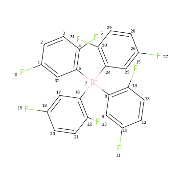 Fc1ccc(F)c([B-](c2cc(F)ccc2F)(c2cc(F)ccc2F)c2cc(F)ccc2F)c1